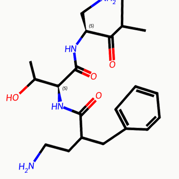 CC(C)C(=O)[C@H](CN)NC(=O)[C@@H](NC(=O)C(CCN)Cc1ccccc1)C(C)O